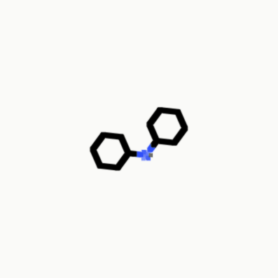 C1CCC([N]C2CCCCC2)CC1